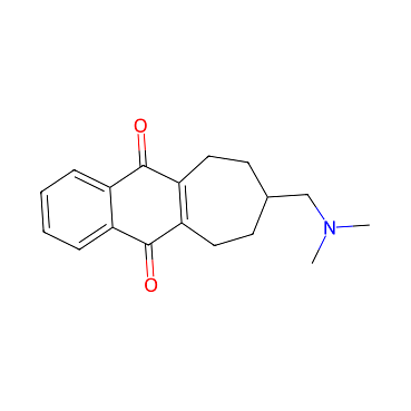 CN(C)CC1CCC2=C(CC1)C(=O)c1ccccc1C2=O